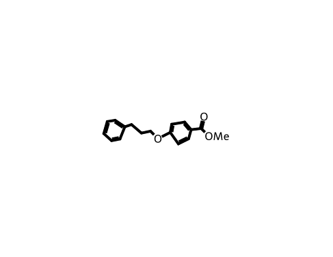 COC(=O)c1ccc(OCCCc2ccccc2)cc1